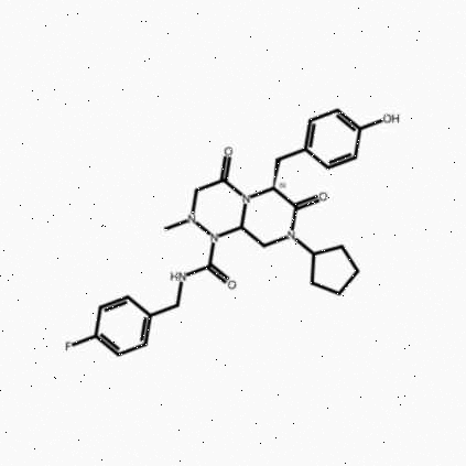 CN1CC(=O)N2C(CN(C3CCCC3)C(=O)[C@@H]2Cc2ccc(O)cc2)N1C(=O)NCc1ccc(F)cc1